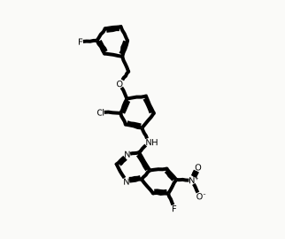 O=[N+]([O-])c1cc2c(Nc3ccc(OCc4cccc(F)c4)c(Cl)c3)ncnc2cc1F